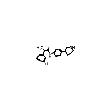 C[C@H](C(=O)Nc1ccc(C2CCCNC2)cc1)c1cccc(Cl)c1